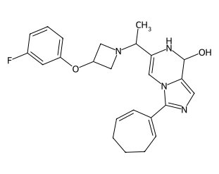 CC(C1=Cn2c(cnc2C2=CCCCC=C2)C(O)N1)N1CC(Oc2cccc(F)c2)C1